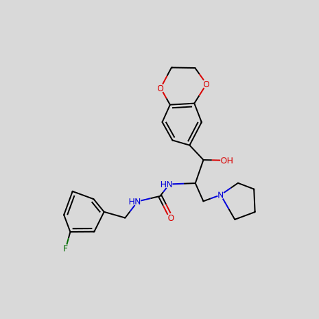 O=C(NCc1cccc(F)c1)NC(CN1CCCC1)C(O)c1ccc2c(c1)OCCO2